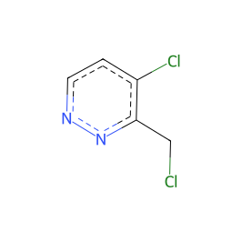 ClCc1nnccc1Cl